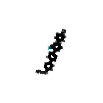 CCCCCC1CCC(C2=CC=C(c3ccc(-c4ccc(CC)cc4)cc3F)CC2)CC1